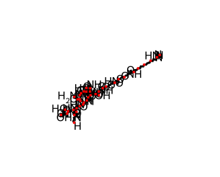 CCCC[C@H](NC(=O)[C@H](CCCCN(CC(=O)O)CC(=O)O)NC(=O)CCNC(=O)[C@H](Cc1c[nH]cn1)NC(=O)[C@H](CCC(N)=O)NC(=O)[C@H](CO)NC(=O)[C@H](CO)NC(=O)[C@H](CCC(N)=O)NC(=O)[C@@H](CO)NC(=O)CNC(=O)COCCOCCNC(=O)COCCOCCNC(=O)CCCCCCCCCCCCCCCc1nnn[nH]1)C(=O)NC